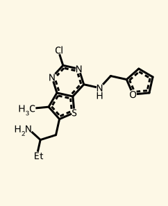 CCC(N)Cc1sc2c(NCc3ccco3)nc(Cl)nc2c1C